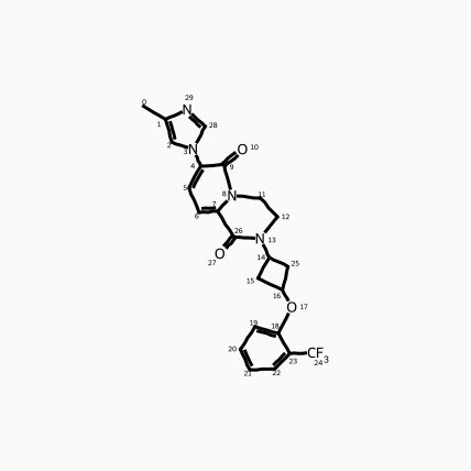 Cc1cn(-c2ccc3n(c2=O)CCN(C2CC(Oc4ccccc4C(F)(F)F)C2)C3=O)cn1